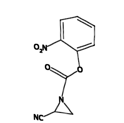 N#CC1CN1C(=O)Oc1ccccc1[N+](=O)[O-]